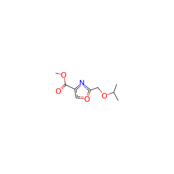 COC(=O)c1coc(COC(C)C)n1